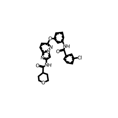 O=C(Nc1cccc(Oc2ccc3nc(NC(=O)C4CCOCC4)cn3n2)c1)c1cccc(Cl)c1